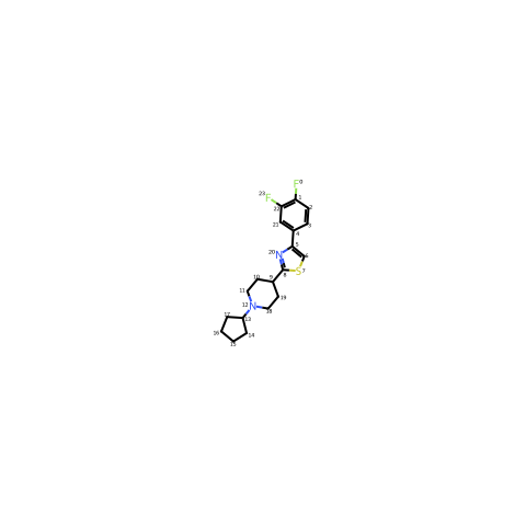 Fc1ccc(-c2csc(C3CCN(C4CCCC4)CC3)n2)cc1F